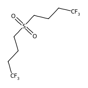 O=S(=O)(CCCC(F)(F)F)CCCC(F)(F)F